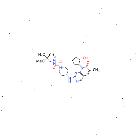 COC(C)(C)CNS(=O)(=O)N1CCC(Nc2ncc3cc(C)c(=O)n([C@H]4CCC[C@@H]4O)c3n2)CC1